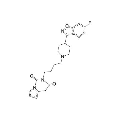 O=C1Cc2cccn2C(=O)N1CCCCN1CCC(c2noc3cc(F)ccc23)CC1